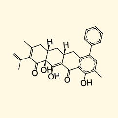 C=C(C)C1=C(C)C[C@@H]2C[C@@H]3Cc4c(-c5ccccc5)cc(C)c(O)c4C(=O)C3=C(O)[C@]2(O)C1=O